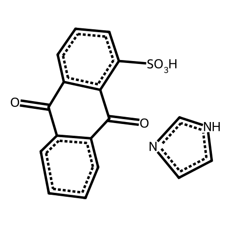 O=C1c2ccccc2C(=O)c2c1cccc2S(=O)(=O)O.c1c[nH]cn1